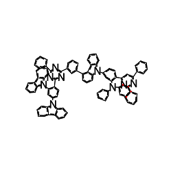 c1ccc(-c2cc(-c3ccc(-n4c5ccccc5c5c(-c6cccc(-c7nc(-c8ccccc8)nc(-c8ccc(-n9c%10ccccc%10c%10ccccc%109)cc8-n8c9ccccc9c9ccccc98)n7)c6)cccc54)cc3N(c3ccccc3)c3ccccc3)nc(-c3ccccc3)n2)cc1